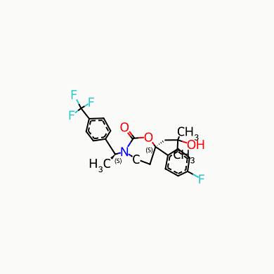 C[C@@H](c1ccc(C(F)(F)F)cc1)N1CC[C@](CC(C)(C)O)(c2ccc(F)cc2)OC1=O